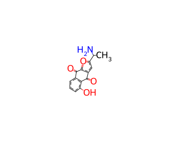 CC(N)c1cc2c(o1)C(=O)c1cccc(O)c1C2=O